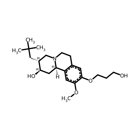 COc1cc2c(cc1OCCCO)CCN1C[C@@H](CC(C)(C)C)[C@H](O)C[C@H]21